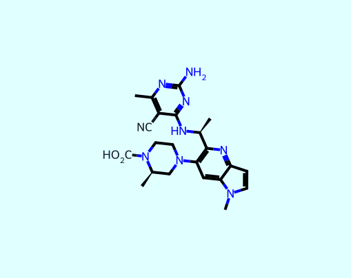 Cc1nc(N)nc(N[C@@H](C)c2nc3ccn(C)c3cc2N2CCN(C(=O)O)[C@H](C)C2)c1C#N